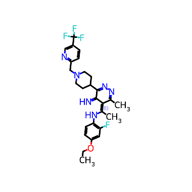 CCOc1ccc(N/C(C)=C2\C(=N)C(C3CCN(Cc4ccc(C(F)(F)F)cn4)CC3)=NN=C2C)c(F)c1